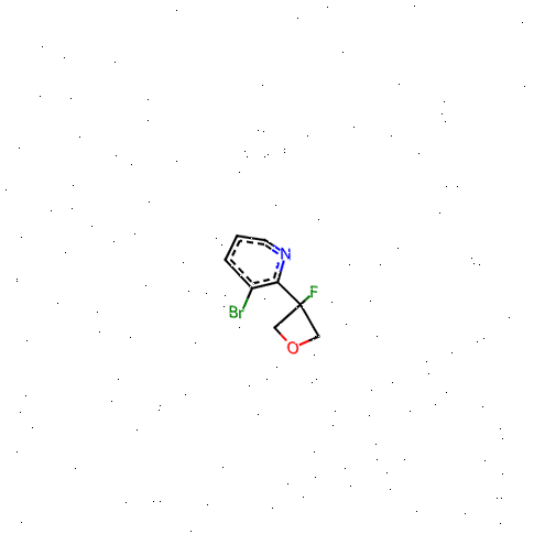 FC1(c2ncccc2Br)COC1